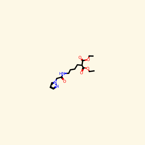 CCOC(=O)C(CCCCNC(=O)Cn1cccn1)C(=O)OCC